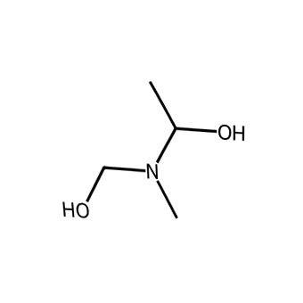 CC(O)N(C)CO